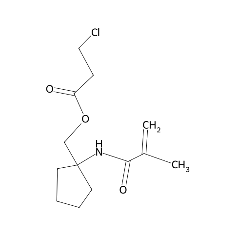 C=C(C)C(=O)NC1(COC(=O)CCCl)CCCC1